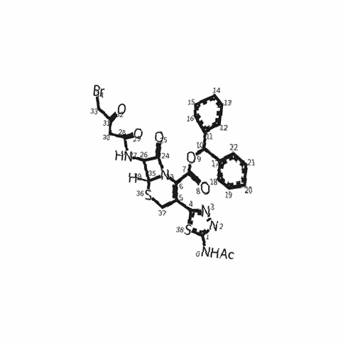 CC(=O)Nc1nnc(C2=C(C(=O)OC(c3ccccc3)c3ccccc3)N3C(=O)C(NC(=O)CC(=O)CBr)[C@H]3SC2)s1